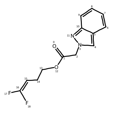 O=C(Cn1cc2ccccc2n1)OCCC=C(F)F